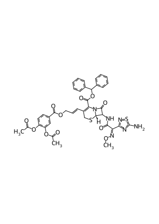 CO/N=C(\C(=O)NC1C(=O)N2C(C(=O)OC(c3ccccc3)c3ccccc3)=C(/C=C/COC(=O)c3ccc(OC(C)=O)c(OC(C)=O)c3)CS[C@@H]12)c1nsc(N)n1